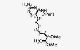 C=C(OC)/C(=C\C=N/CCOc1cnc(N)nc1NC(C)CCC)OC